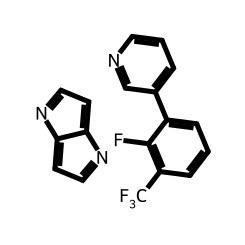 C1=NC2=CC=NC2=C1.Fc1c(-c2cccnc2)cccc1C(F)(F)F